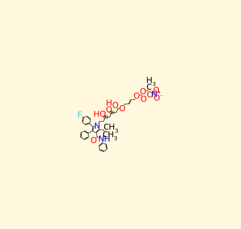 CC(OC(=O)OCC=CCOC(=O)C[C@H](O)C[C@H](O)CCn1c(-c2ccc(F)cc2)c(-c2ccccc2)c(C(=O)Nc2ccccc2)c1C(C)C)O[N+](=O)[O-]